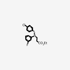 CCOC(=O)CCN(Sc1ccc(Cl)cc1)c1cccc(F)c1